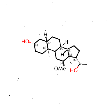 CO[C@H]1CC2[C@@H](CC[C@H]3C[C@@H](O)CC[C@]23C)[C@@H]2CC[C@H](C(C)O)[C@@]12C